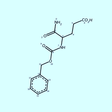 NC(=O)C(CCC(=O)O)NC(=O)OCc1ccccc1